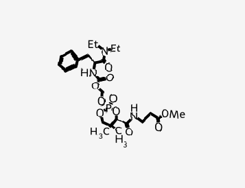 CCN(CC)C(=O)[C@H](Cc1ccccc1)NC(=O)OCOP1(=O)OCC(C)(C)[C@H](C(=O)NCCC(=O)OC)O1